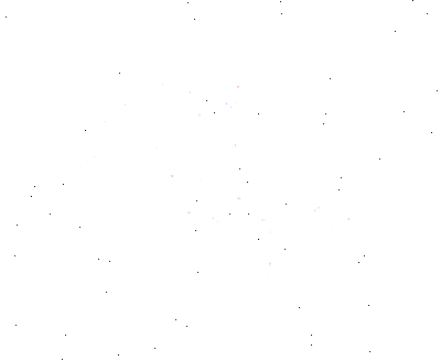 C\C=C/C=C1C(=N\O)\COc2ccc(C(C)=O)cc2C\1=C\CCN1CCC(O)(c2ccc(Cl)cc2)C(C)(C)C1